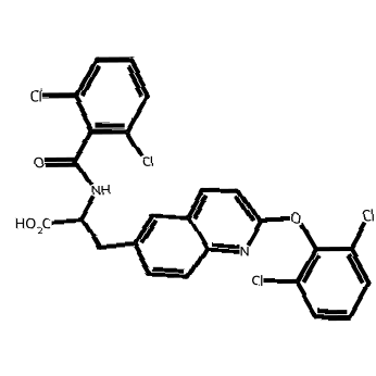 O=C(NC(Cc1ccc2nc(Oc3c(Cl)cccc3Cl)ccc2c1)C(=O)O)c1c(Cl)cccc1Cl